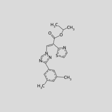 Cc1cc(C)cc(-c2ncn(C=C(C(=O)OC(C)C)c3nccs3)n2)c1